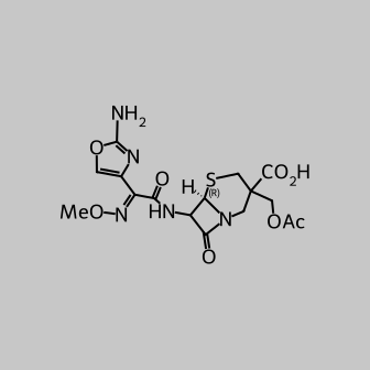 CON=C(C(=O)NC1C(=O)N2CC(COC(C)=O)(C(=O)O)CS[C@H]12)c1coc(N)n1